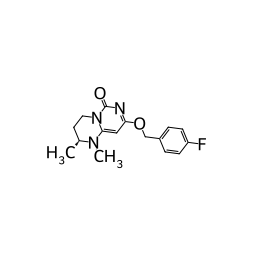 C[C@H]1CCn2c(cc(OCc3ccc(F)cc3)nc2=O)N1C